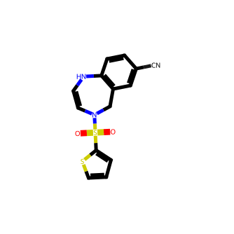 N#Cc1ccc2c(c1)CN(S(=O)(=O)c1cccs1)C=CN2